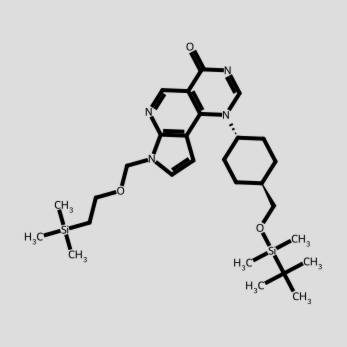 CC(C)(C)[Si](C)(C)OC[C@H]1CC[C@H](n2cnc(=O)c3cnc4c(ccn4COCC[Si](C)(C)C)c32)CC1